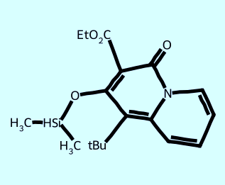 CCOC(=O)c1c(O[SiH](C)C)c(C(C)(C)C)c2ccccn2c1=O